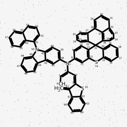 C=c1/c(=C\C(=C/C)N(c2ccc3c(c2)Sc2ccccc2C32c3ccccc3-c3cccc4cccc2c34)c2ccc3c(c2)c2ccccc2n3-c2cccc3ccccc23)sc2ccccc12